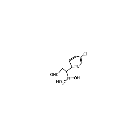 O=CCC(c1ccc(Cl)cn1)N(O)C(=O)O